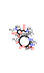 CC[C@H]1OC(=O)CC(=O)[C@H](C)[C@@H](O[C@@H]2OC(C(O)CN(C)C)CC(N(C)C)C2O)[C@](C)(OC)C[C@@H](C)CN[C@H](C)[C@H]2NC(=O)O[C@@]21C